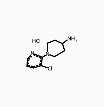 Cl.NC1CCN(c2ncccc2Cl)CC1